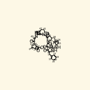 C[C@@H]1C[C@H]2C(=O)OC[C@H](NC(=O)[C@H](Cc3ccccc3)NC(=O)Nc3ccn(C)n3)C(=O)N3CCC[C@H]3C(=O)N3CCCC[C@H]3C(=O)N[C@@H](C)C(=O)N2C1